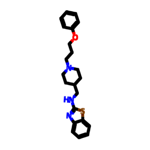 c1ccc(OCCCN2CCC(CNc3nc4ccccc4s3)CC2)cc1